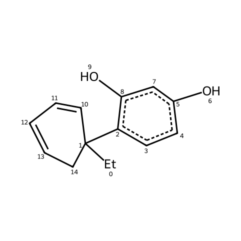 CCC1(c2ccc(O)cc2O)C=CC=CC1